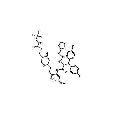 C=C(CC[C@@H]1CN[C@H](COC(=O)NCC(F)(F)F)CO1)/C(=C\N=C/F)NC(=O)[C@@H](NC(=O)OC1CCCC1)C(c1ccc(F)cc1)c1ccc(F)cc1